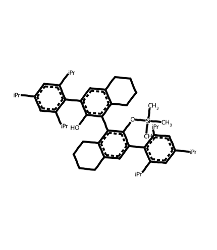 CC(C)c1cc(C(C)C)c(-c2cc3c(c(-c4c5c(cc(-c6c(C(C)C)cc(C(C)C)cc6C(C)C)c4O[Si](C)(C)C)CCCC5)c2O)CCCC3)c(C(C)C)c1